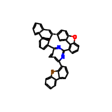 C1=C/C(c2ccccc2)=N\C(c2cccc3oc4ccc(-c5ccc6ccccc6c5)cc4c23)=N/C(c2cccc3c2sc2ccccc23)=C/1